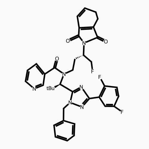 CC(C)(C)[C@H](c1nc(-c2cc(F)ccc2F)nn1Cc1ccccc1)N(CC[C@@H](CF)N1C(=O)C2=C(CCC=C2)C1=O)C(=O)c1cccnc1